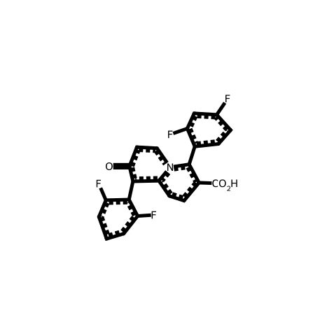 O=C(O)c1ccc2c(-c3c(F)cccc3F)c(=O)ccn2c1-c1ccc(F)cc1F